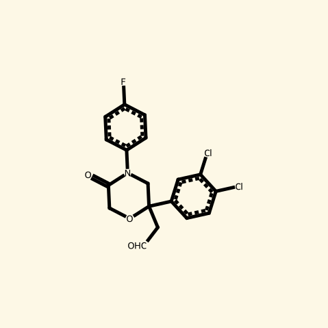 O=CCC1(c2ccc(Cl)c(Cl)c2)CN(c2ccc(F)cc2)C(=O)CO1